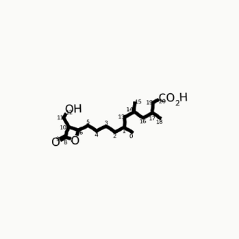 CC(CCCCC1OC(=O)C1CO)CC(C)CC(C)CC(=O)O